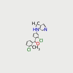 Cc1ccncc1Nc1ccc(C(=O)c2cccc(Cl)c2C)c(Cl)c1